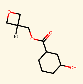 CCC1(COC(=O)C2CCCC(O)C2)COC1